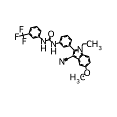 CCn1c(-c2cccc(NC(=O)Nc3cccc(C(F)(F)F)c3)c2)c(C#N)c2cc(OC)ccc21